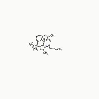 CCCC/N=C1/C(Nc2c(CC(C)C)cccc2CC(C)C)=C(C)CC1C